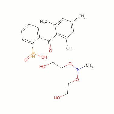 CN(OCCO)OCCO.Cc1cc(C)c(C(=O)c2ccccc2[PH](=O)O)c(C)c1